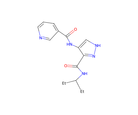 CCC(CC)NC(=O)c1n[nH]cc1NC(=O)c1cccnc1